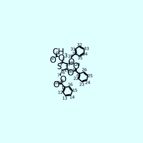 CC(=O)OC1S[C@H](COC(=O)c2ccccc2)[C@H](OC(=O)c2ccccc2)[C@H]1OCc1ccccc1